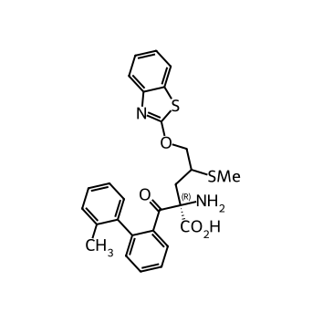 CSC(COc1nc2ccccc2s1)C[C@](N)(C(=O)O)C(=O)c1ccccc1-c1ccccc1C